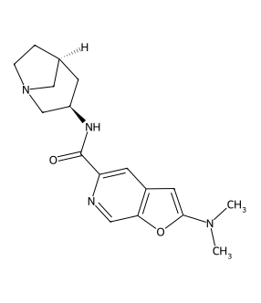 CN(C)c1cc2cc(C(=O)N[C@@H]3C[C@@H]4CCN(C4)C3)ncc2o1